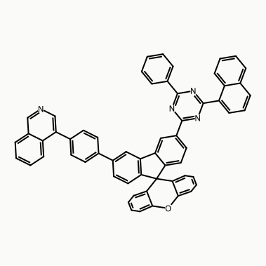 c1ccc(-c2nc(-c3ccc4c(c3)-c3cc(-c5ccc(-c6cncc7ccccc67)cc5)ccc3C43c4ccccc4Oc4ccccc43)nc(-c3cccc4ccccc34)n2)cc1